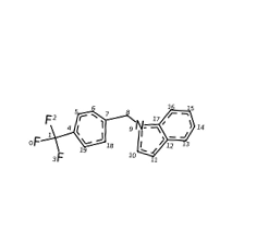 FC(F)(F)c1ccc(Cn2c[c]c3ccccc32)cc1